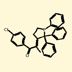 CC(C(=O)c1ccc(Cl)cc1)=C1CCP(c2ccccc2)C1(c1ccccc1)c1ccccc1